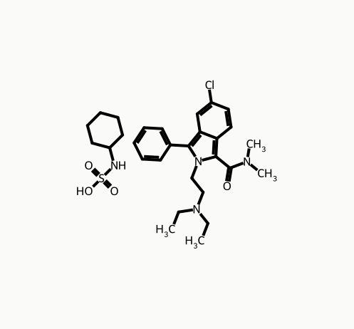 CCN(CC)CCn1c(C(=O)N(C)C)c2ccc(Cl)cc2c1-c1ccccc1.O=S(=O)(O)NC1CCCCC1